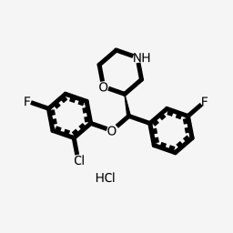 Cl.Fc1cccc(C(Oc2ccc(F)cc2Cl)[C@@H]2CNCCO2)c1